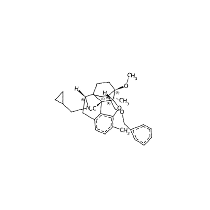 CO[C@]12CCC3(C[C@]1(C)COCc1ccccc1)[C@H]1Cc4ccc(C)c5c4[C@@]3(CCN1CC1CC1)[C@H]2O5